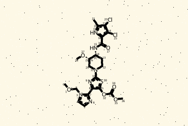 COCn1ccnc1-c1nc(N2CC[C@@H](NC(=O)c3[nH]c(C)c(Cl)c3Cl)[C@@H](OC)C2)sc1OC(=O)OC